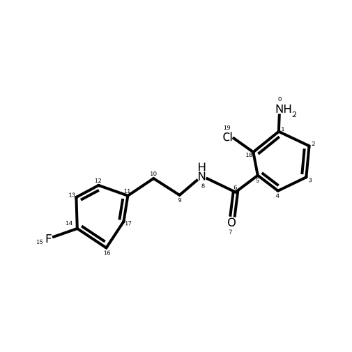 Nc1cccc(C(=O)NCCc2ccc(F)cc2)c1Cl